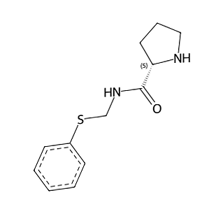 O=C(NCSc1ccccc1)[C@@H]1CCCN1